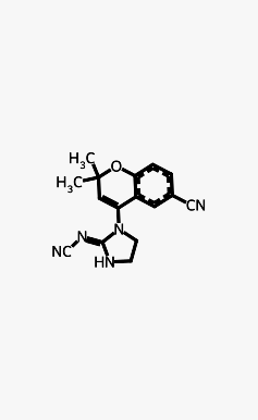 CC1(C)C=C(N2CCNC2=NC#N)c2cc(C#N)ccc2O1